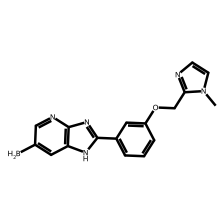 Bc1cnc2nc(-c3cccc(OCc4nccn4C)c3)[nH]c2c1